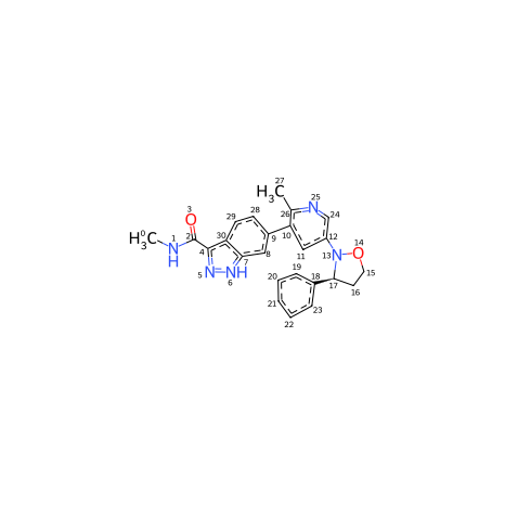 CNC(=O)c1n[nH]c2cc(-c3cc(N4OCC[C@H]4c4ccccc4)cnc3C)ccc12